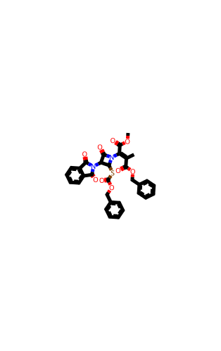 COC(=O)/C(=C(\C)C(=O)OCc1ccccc1)N1C(=O)C(N2C(=O)c3ccccc3C2=O)C1SC(=O)OCc1ccccc1